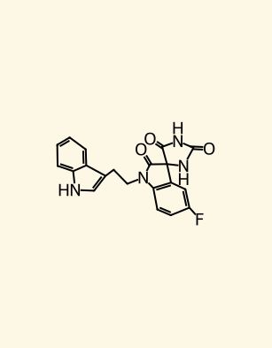 O=C1NC(=O)C2(N1)C(=O)N(CCc1c[nH]c3ccccc13)c1ccc(F)cc12